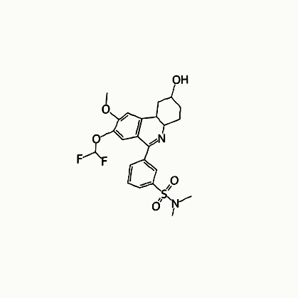 COc1cc2c(cc1OC(F)F)C(c1cccc(S(=O)(=O)N(C)C)c1)=NC1CCC(O)CC21